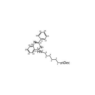 CCCCCCCCCCCCCCCCNc1nc(-c2ccccc2)nc2ccccc12